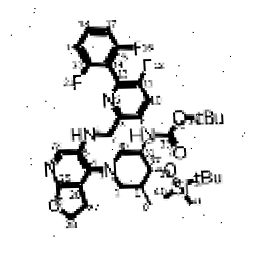 C[C@H]1CN(c2c(NCc3ccc(F)c(-c4c(F)cccc4F)n3)cnc3c2CCO3)C[C@@H](NC(=O)OC(C)(C)C)[C@@H]1O[Si](C)(C)C(C)(C)C